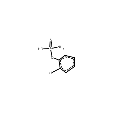 NP(O)(=S)Oc1ccccc1Cl